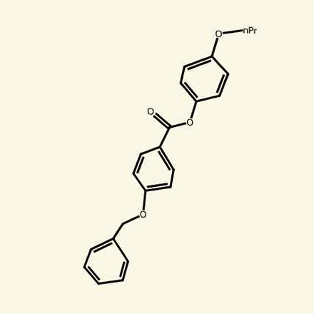 CCCOc1ccc(OC(=O)c2ccc(OCc3ccccc3)cc2)cc1